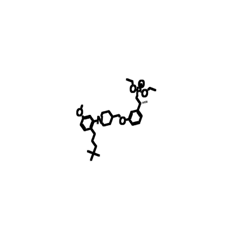 CCOP(=O)(C[C@H](C)c1cccc(OCC2CCN(c3cc(OC)ccc3CCCC(C)(C)C)CC2)c1)OCC